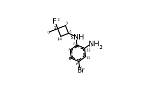 CC1(F)CC(Nc2ccc(Br)cc2N)C1